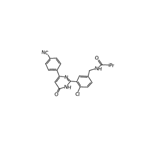 CC(C)C(=O)NCc1ccc(Cl)c(-c2nc(-c3ccc(C#N)cc3)cc(=O)[nH]2)c1